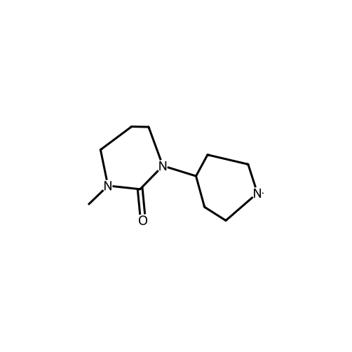 CN1CCCN(C2CC[N]CC2)C1=O